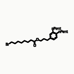 CCCCCc1ccc(CCCOC(=O)CCCCCCCBr)cc1CCCCC